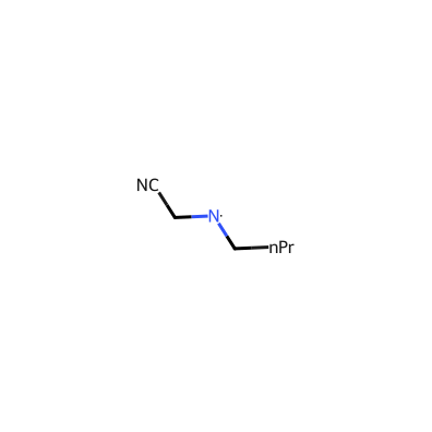 CCCC[N]CC#N